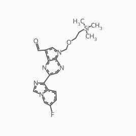 C[Si](C)(C)CCOCn1cc(C=O)c2nc(-c3ncn4cc(F)ccc34)cnc21